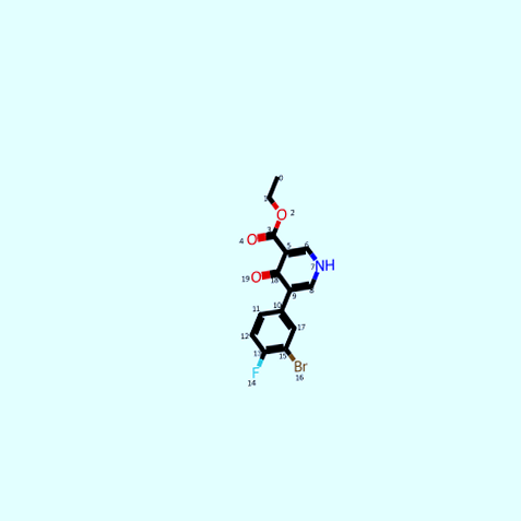 CCOC(=O)c1c[nH]cc(-c2ccc(F)c(Br)c2)c1=O